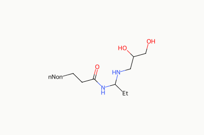 CCCCCCCCCCCC(=O)NC(CC)NCC(O)CO